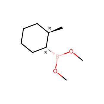 COB(OC)[C@@H]1CCCC[C@H]1C